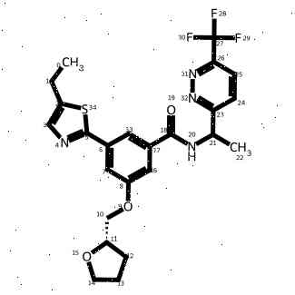 CCc1cnc(-c2cc(OC[C@@H]3CCCO3)cc(C(=O)NC(C)c3ccc(C(F)(F)F)nn3)c2)s1